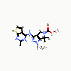 CCOC(=O)n1nc(Nc2nc(C)nc3sccc23)c2c1C(C)(C)N(C(=O)OC(C)(C)C)C2